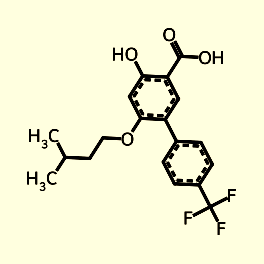 CC(C)CCOc1cc(O)c(C(=O)O)cc1-c1ccc(C(F)(F)F)cc1